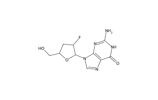 Nc1nc2c(ncn2C2OC(CO)CC2F)c(=O)[nH]1